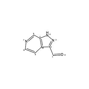 O=Cc1n[nH]c2cnccc12